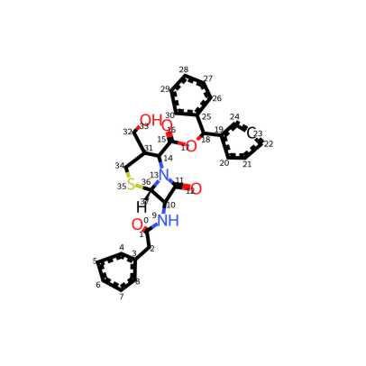 O=C(Cc1ccccc1)NC1C(=O)N2C(C(=O)OC(c3ccccc3)c3ccccc3)C(CO)CS[C@@H]12